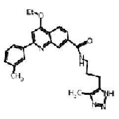 CCOc1cc(-c2cccc(C)c2)nc2cc(C(=O)NCCCc3[nH]nnc3C)ccc12